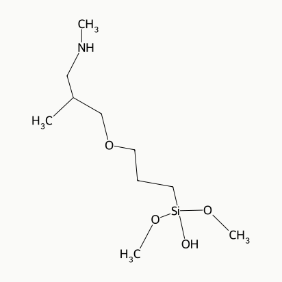 CNCC(C)COCCC[Si](O)(OC)OC